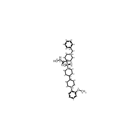 COc1ccccc1N1CCC(C2CCN(S(=O)(=O)C3(C(=O)NO)CCN(Cc4ccccc4)CC3)CC2)CC1